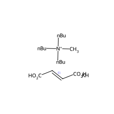 CCCC[N+](C)(CCCC)CCCC.O=C(O)/C=C/C(=O)O.[KH]